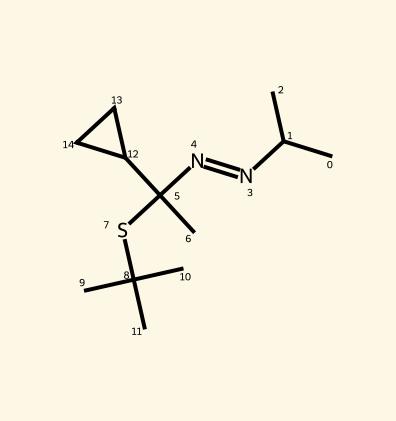 CC(C)N=NC(C)(SC(C)(C)C)C1CC1